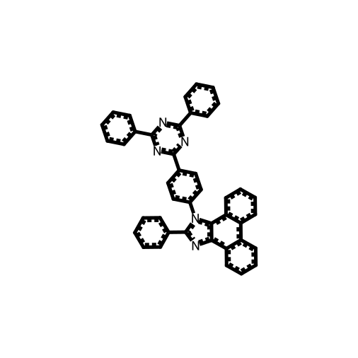 c1ccc(-c2nc(-c3ccccc3)nc(-c3ccc(-n4c(-c5ccccc5)nc5c6ccccc6c6ccccc6c54)cc3)n2)cc1